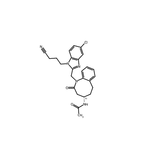 CC(=O)N[C@H]1CCc2ccccc2N(Cc2nc3cc(Cl)ccc3n2CCCC#N)C(=O)C1